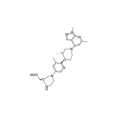 COC[C@H]1CN(c2cnc([C@@H]3CCN(c4cc(C)nc5c4cnn5C)C[C@H]3C)c(C)c2)CCN1